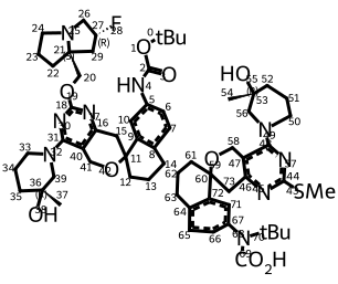 CC(C)(C)OC(=O)Nc1ccc2c(c1)C1(CCC2)Cc2nc(OC[C@@]34CCCN3C[C@H](F)C4)nc(N3CCC[C@@](C)(O)C3)c2CO1.CSc1nc2c(c(N3CCC[C@@](C)(O)C3)n1)COC1(CCCc3ccc(N(C(=O)O)C(C)(C)C)cc31)C2